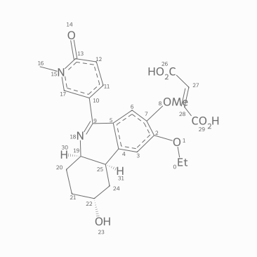 CCOc1cc2c(cc1OC)C(c1ccc(=O)n(C)c1)=N[C@@H]1CC[C@@H](O)C[C@H]21.O=C(O)/C=C/C(=O)O